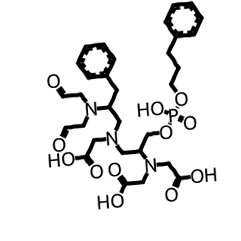 O=CCN(CC=O)C(Cc1ccccc1)CN(CC(=O)O)CC(COP(=O)(O)OCCCc1ccccc1)N(CC(=O)O)CC(=O)O